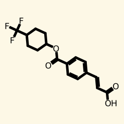 O=C(O)C=Cc1ccc(C(=O)OC2CCC(C(F)(F)F)CC2)cc1